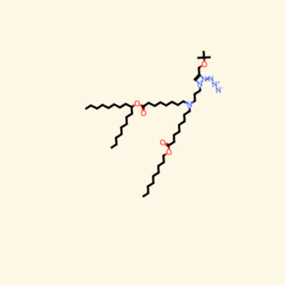 CCCCCCCCCOC(=O)CCCCCCCN(CCCCCCCC(=O)OC(CCCCCCCC)CCCCCCCC)CCCn1cc(COC(C)(C)C)n1N=[N+]=[N-]